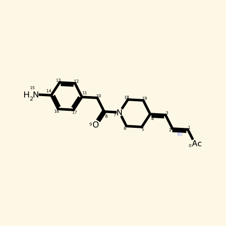 CC(=O)/C=C/C=C1CCN(C(=O)Cc2ccc(N)cc2)CC1